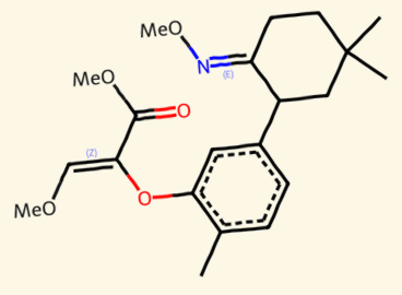 CO/C=C(\Oc1cc(C2CC(C)(C)CC/C2=N\OC)ccc1C)C(=O)OC